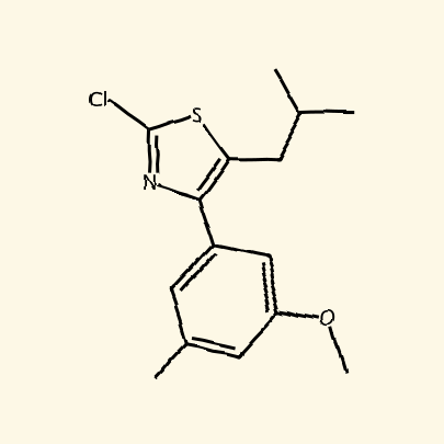 COc1cc(C)cc(-c2nc(Cl)sc2CC(C)C)c1